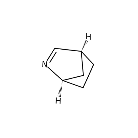 C1=N[C@@H]2CC[C@H]1C2